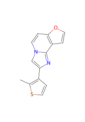 Cc1sccc1-c1cn2ccc3occc3c2n1